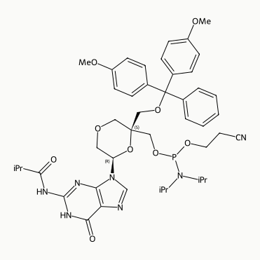 COc1ccc(C(OC[C@]2(COP(OCCC#N)N(C(C)C)C(C)C)COC[C@H](n3cnc4c(=O)[nH]c(NC(=O)C(C)C)nc43)O2)(c2ccccc2)c2ccc(OC)cc2)cc1